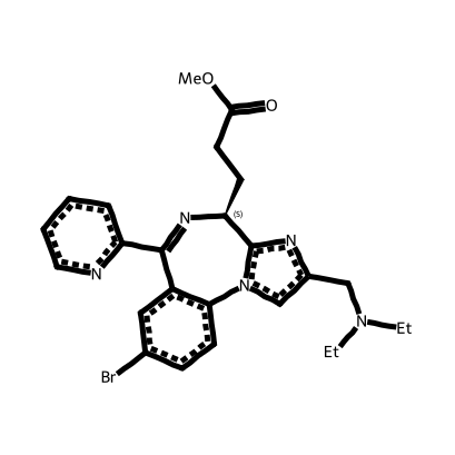 CCN(CC)Cc1cn2c(n1)[C@H](CCC(=O)OC)N=C(c1ccccn1)c1cc(Br)ccc1-2